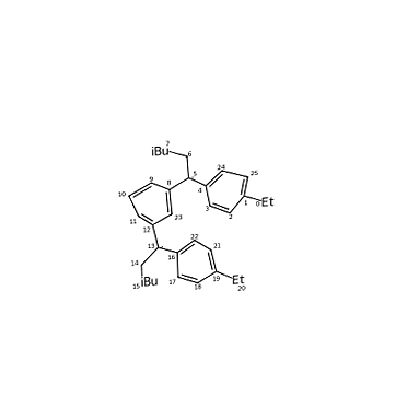 CCc1ccc([C](CC(C)CC)c2cccc([C](CC(C)CC)c3ccc(CC)cc3)c2)cc1